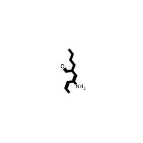 C/C=C\C(N)=C/C(C=O)CCCC